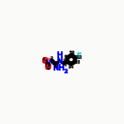 N/C(=C\[N+](=O)[O-])NCc1ccc(F)cc1